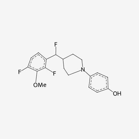 COc1c(F)ccc(C(F)C2CCN(c3ccc(O)cc3)CC2)c1F